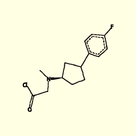 CN(CC(=O)Cl)[C@@H]1CCC(c2ccc(F)cc2)C1